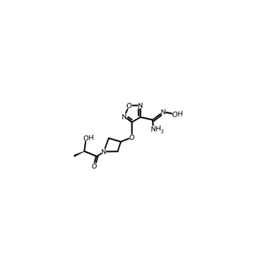 C[C@@H](O)C(=O)N1CC(Oc2nonc2/C(N)=N/O)C1